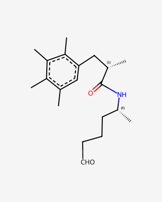 Cc1cc(C[C@H](C)C(=O)N[C@H](C)CCCC=O)c(C)c(C)c1C